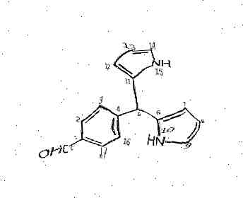 O=Cc1ccc(C(c2ccc[nH]2)c2ccc[nH]2)cc1